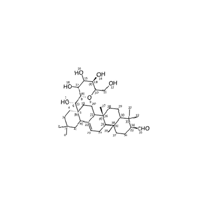 CC1(C)CC[C@]2([C@H](O)[C@H]3OC(CO)[C@H](O)C(O)C3O)CCC3C(=CCC4[C@@]3(C)CCC3C(C)(C)[C@@H](C=O)CC[C@@]34C)C2C1